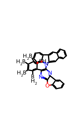 Bc1c(B)c(B)c(-c2nc3oc4ccccc4c3nc2-n2c3ccccc3c3cc4ccccc4cc32)c(B)c1B